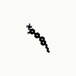 CCCCCc1ccc2cc(-c3ccc(-c4ccc(OC(F)(F)F)c(F)c4)cc3)ccc2c1